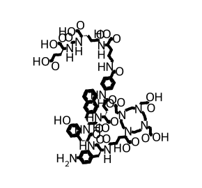 Nc1ccc(C[C@H](NC(=O)CCC(C(=O)O)N2CCN(CC(=O)O)CCN(CC(=O)O)CCN(CC(=O)O)CC2)C(=O)N[C@H](Cc2ccc(O)cc2)C(=O)N[C@H](Cc2ccc3ccccc3c2)C(=O)N[C@H](CCC(=O)Nc2ccc(C(=O)NCCCC(NC(=O)CC[C@H](NC(=O)N[C@@H](CCC(=O)O)C(=O)O)C(=O)O)C(=O)O)cc2)C(=O)O)cc1